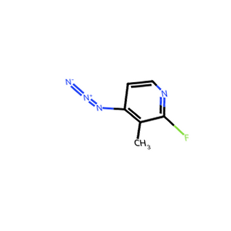 Cc1c(N=[N+]=[N-])ccnc1F